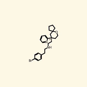 Brc1ccc(CCNCC[C@]2(c3ccccn3)CCOC3(CCCC3)C2)cc1